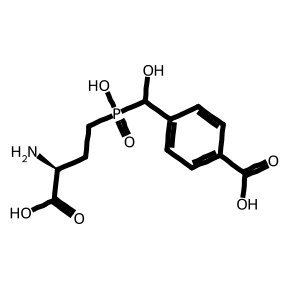 N[C@@H](CCP(=O)(O)C(O)c1ccc(C(=O)O)cc1)C(=O)O